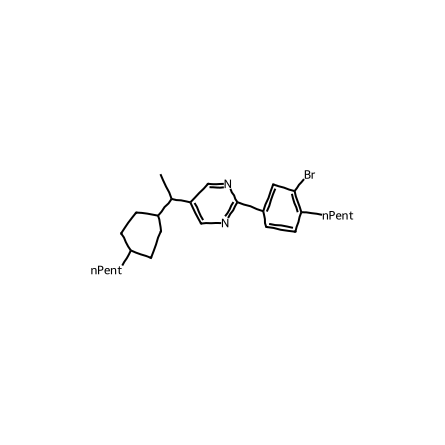 CCCCCc1ccc(-c2ncc(C(C)C3CCC(CCCCC)CC3)cn2)cc1Br